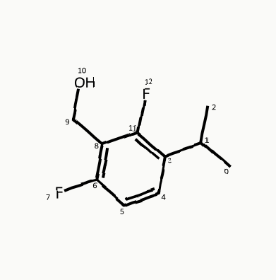 CC(C)c1ccc(F)c(CO)c1F